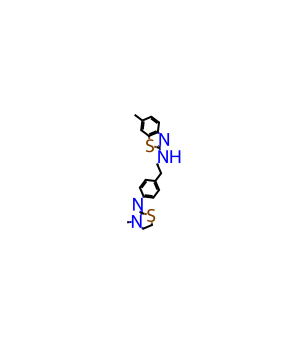 Cc1ccc2nc(NCCc3ccc(/N=C4\SCCN4C)cc3)sc2c1